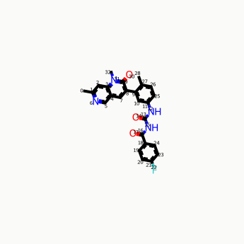 Cc1cc2c(cn1)cc(-c1cc(NC(=O)NC(=O)c3ccc(F)cc3)ccc1C)c(=O)n2C